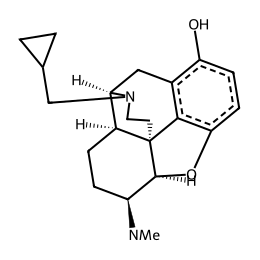 CN[C@H]1CC[C@H]2[C@H]3Cc4c(O)ccc5c4[C@@]2(CCN3CC2CC2)[C@H]1O5